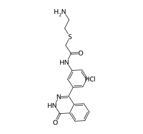 Cl.NCCSCC(=O)Nc1cccc(-c2n[nH]c(=O)c3ccccc23)c1